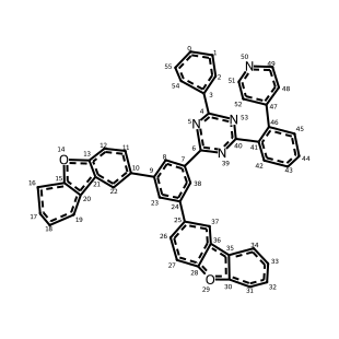 c1ccc(-c2nc(-c3cc(-c4ccc5oc6ccccc6c5c4)cc(-c4ccc5oc6ccccc6c5c4)c3)nc(-c3ccccc3-c3ccncc3)n2)cc1